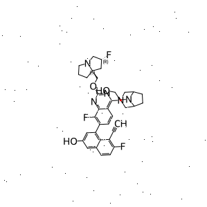 C#Cc1c(F)ccc2cc(O)cc(-c3ccc4c(N5CC6CCC(C5)N6CCO)nc(OC[C@@]56CCCN5C[C@H](F)C6)nc4c3F)c12